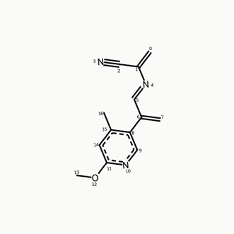 C=C(C#N)/N=C/C(=C)c1cnc(OC)cc1C